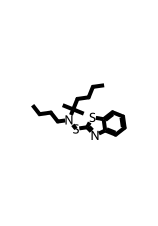 CCCCN(Sc1nc2ccccc2s1)C(C)(C)CCCC